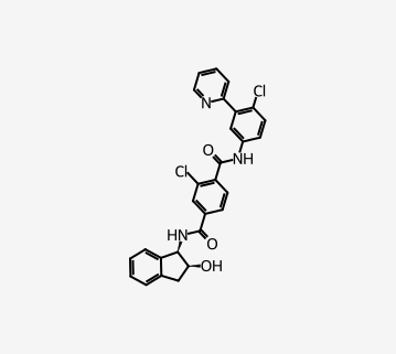 O=C(N[C@@H]1c2ccccc2C[C@@H]1O)c1ccc(C(=O)Nc2ccc(Cl)c(-c3ccccn3)c2)c(Cl)c1